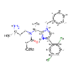 COCC(=O)N(CC[C@H](C)N)[C@@H](c1nc(-c2cc(F)ccc2F)cn1Cc1ccccc1)C(C)(C)C